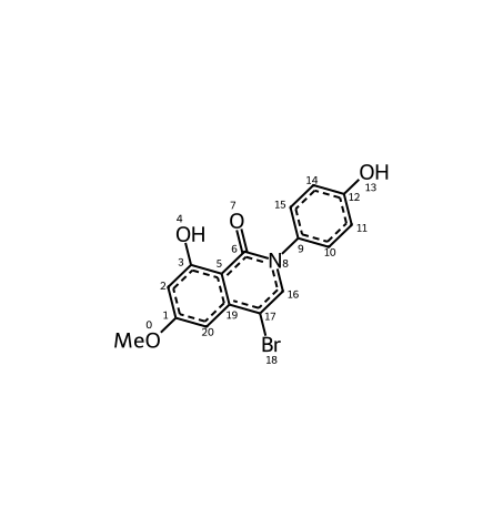 COc1cc(O)c2c(=O)n(-c3ccc(O)cc3)cc(Br)c2c1